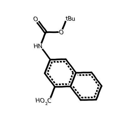 CC(C)(C)OC(=O)Nc1cc(C(=O)O)c2ccccc2c1